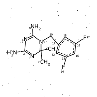 CC1(C)N=C(N)N=C(N)N1Cc1cc(F)cc(F)c1